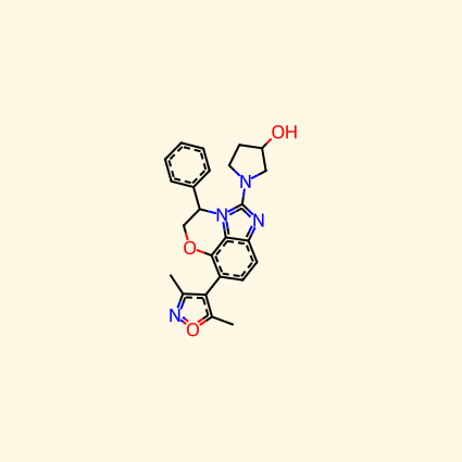 Cc1noc(C)c1-c1ccc2nc(N3CCC(O)C3)n3c2c1OCC3c1ccccc1